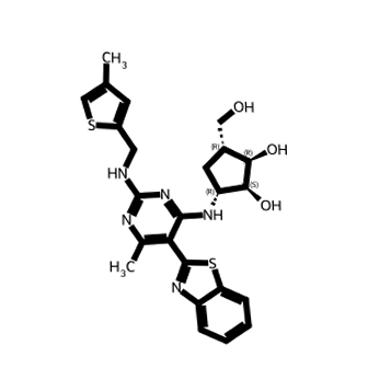 Cc1csc(CNc2nc(C)c(-c3nc4ccccc4s3)c(N[C@@H]3C[C@H](CO)[C@@H](O)[C@H]3O)n2)c1